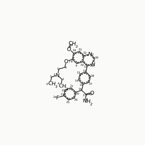 CCN(CC)CCOc1cc2c(-c3ccc(C(C(N)=O)c4ccc(F)cc4)cc3)ncnc2cc1OC